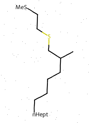 CCCCCCCCCCCC(C)CSCCSC